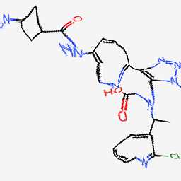 CC(c1cccnc1Cl)N(C(=O)O)c1c(-c2ccc(NC(=O)C3CC(N)C3)cn2)nnn1C